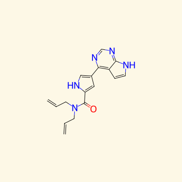 C=CCN(CC=C)C(=O)c1cc(-c2ncnc3[nH]ccc23)c[nH]1